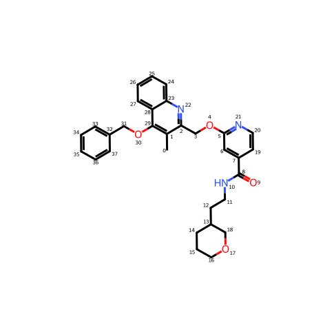 Cc1c(COc2cc(C(=O)NCCC3CCCOC3)ccn2)nc2ccccc2c1OCc1ccccc1